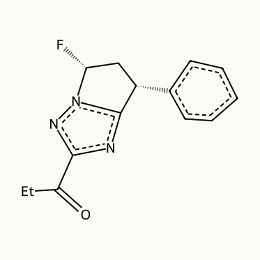 CCC(=O)c1nc2n(n1)[C@H](F)C[C@@H]2c1ccccc1